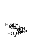 CC(C)n1nc(C(=O)O)c2c1[C@@H](C)CN(c1ccc(C(=O)N(C)C)cc1)C2